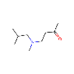 CC(=O)CCN(C)CC(C)C